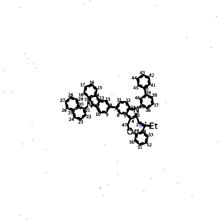 CC/C1=C\c2c(c3cc(-c4ccc5c(c4)c4ccccc4n5-c4cccc5ccccc45)ccc3n2-c2cccc(-c3ccccc3)c2)COc2ccccc21